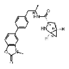 C[C@H](Cc1ccc(-c2ccc3oc(=O)n(C)c3c2)cc1)NC(=O)[C@@H]1C[C@H]2C[C@H]2N1